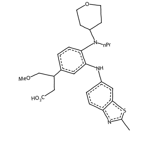 CCCN(c1ccc(C(COC)CC(=O)O)cc1Nc1ccc2nc(C)sc2c1)C1CCOCC1